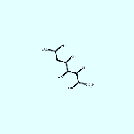 O=C(O)C(O)CC(O)C(O)C(O)C(O)C(=O)O